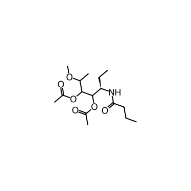 CCCC(=O)N[C@H](CC)C(OC(C)=O)C(OC(C)=O)C(C)OC